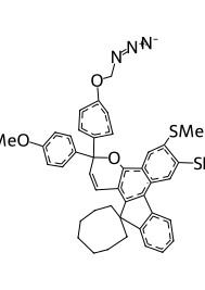 COc1ccc(C2(c3ccc(OCN=[N+]=[N-])cc3)C=Cc3c4c(c5cc(S)c(SC)cc5c3O2)-c2ccccc2C42CCCCCCC2)cc1